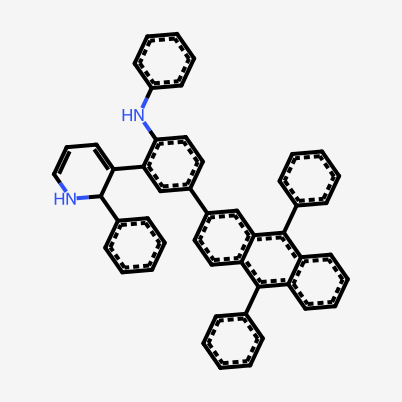 C1=CNC(c2ccccc2)C(c2cc(-c3ccc4c(-c5ccccc5)c5ccccc5c(-c5ccccc5)c4c3)ccc2Nc2ccccc2)=C1